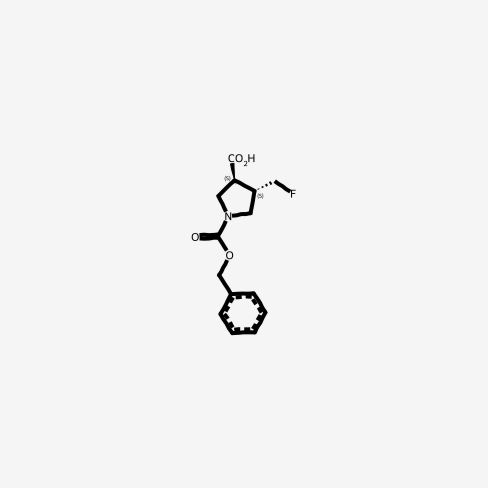 O=C(O)[C@@H]1CN(C(=O)OCc2ccccc2)C[C@H]1CF